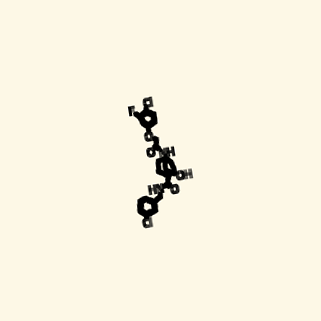 O=C(COc1ccc(Cl)c(F)c1)NC12CCC(C(=O)NCc3cccc(Cl)c3)(CC1)C(O)C2